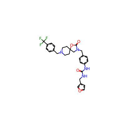 O=C(NCc1ccoc1)Nc1ccc(CN2CC3(CCN(Cc4ccc(C(F)(F)F)cc4)CC3)OC2=O)cc1